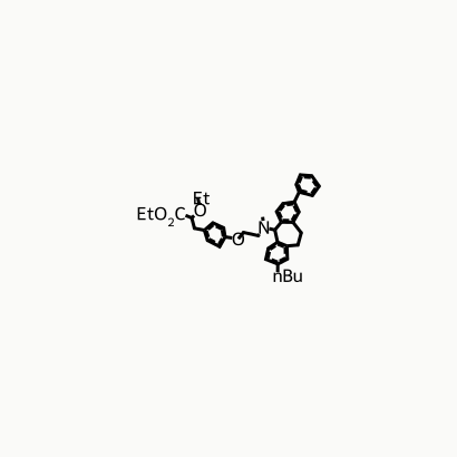 CCCCc1ccc2c(c1)CCc1cc(-c3ccccc3)ccc1C2N(C)CCOc1ccc(CC(OCC)C(=O)OCC)cc1